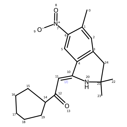 Cc1cc2c(cc1[N+](=O)[O-])/C(=C/C(=O)C1CCCCC1)NC(C)(C)C2